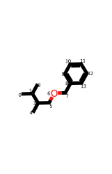 CC(C)C(C)COCc1ccccc1